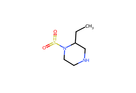 CCC1CNCCN1[SH](=O)=O